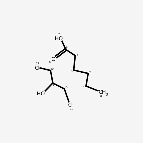 CCCCCC(=O)O.OC(CCl)CCl